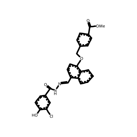 COC(=O)c1ccc(COc2ccc(/C=N/NC(=O)c3ccc(O)c(Cl)c3)c3ccccc23)cc1